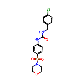 O=C(NCc1ccc(Cl)cc1)Nc1ccc(S(=O)(=O)N2CCOCC2)cc1